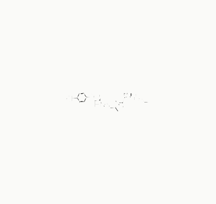 C=C(CCNC(=O)COc1ccc(Cl)c(F)c1)NC(=O)C1CN1OOCCC